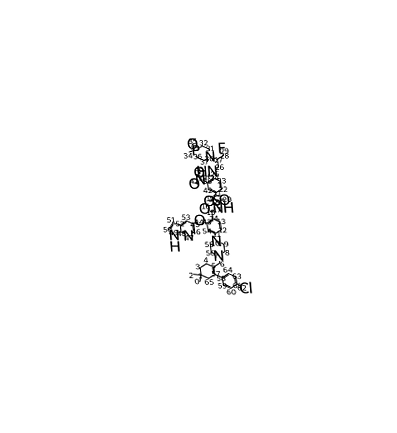 CC1(C)CCC(CN2CCN(c3ccc(C(=O)NS(=O)(=O)c4ccc(NCC(CF)N5CCP(C)(=O)CC5)c([N+](=O)[O-])c4)c(Oc4cnc5[nH]ccc5c4)c3)CC2)=C(c2ccc(Cl)cc2)C1